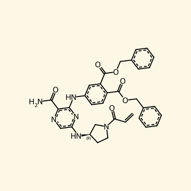 C=CC(=O)N1CC[C@@H](Nc2cnc(C(N)=O)c(Nc3ccc(C(=O)OCc4ccccc4)c(C(=O)OCc4ccccc4)c3)n2)C1